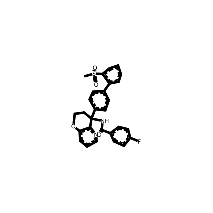 CS(=O)(=O)c1ccccc1-c1ccc(C2(NC(=O)c3ccc(F)cc3)CCOc3cccnc32)cc1